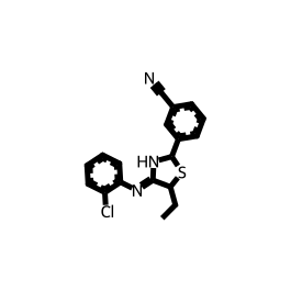 CCC1SC(c2cccc(C#N)c2)NC1=Nc1ccccc1Cl